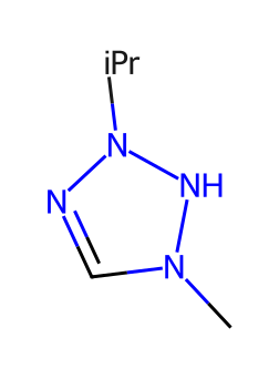 CC(C)N1N=CN(C)N1